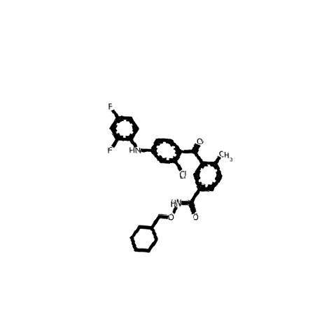 Cc1ccc(C(=O)NOCC2CCCCC2)cc1C(=O)c1ccc(Nc2ccc(F)cc2F)cc1Cl